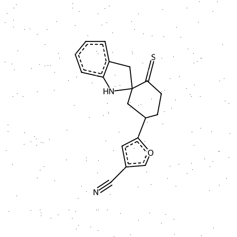 N#Cc1coc(C2CCC(=S)C3(Cc4ccccc4N3)C2)c1